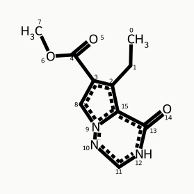 CCc1c(C(=O)OC)cn2nc[nH]c(=O)c12